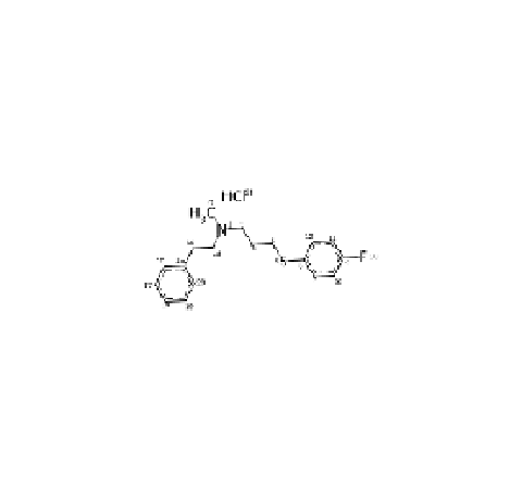 CN(CCCSc1ccc(F)cc1)CCc1ccccc1.Cl